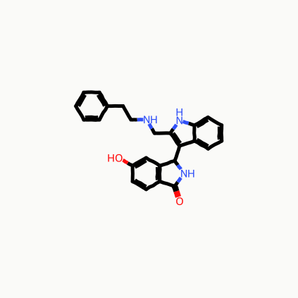 O=C1NC(c2c(CNCCc3ccccc3)[nH]c3ccccc23)c2cc(O)ccc21